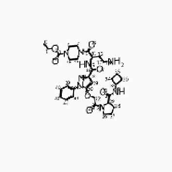 CCOC(=O)N1CCN(C(=O)C(CCN)NC(=O)c2cc(OCC(=O)N3CCCC3C(=O)NC3CCC3)n(-c3ccccc3)n2)CC1